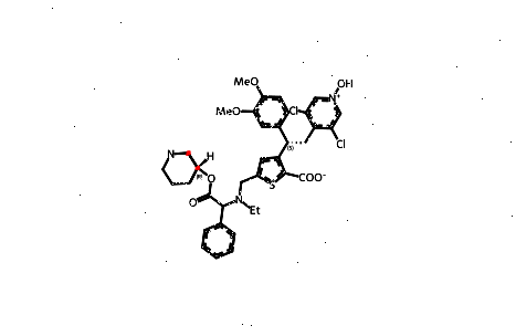 CCN(Cc1cc([C@@H](Cc2c(Cl)c[n+](O)cc2Cl)c2ccc(OC)c(OC)c2)c(C(=O)[O-])s1)C(C(=O)O[C@H]1CN2CCC1CC2)c1ccccc1